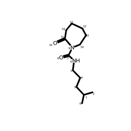 CC(C)CCCNC(=O)N1CCCC[CH]C1=O